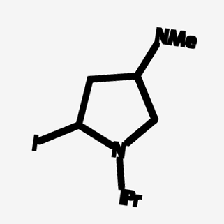 CNC1CC(I)N(C(C)C)C1